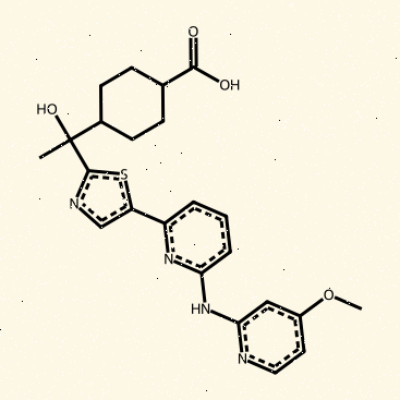 COc1ccnc(Nc2cccc(-c3cnc(C(C)(O)C4CCC(C(=O)O)CC4)s3)n2)c1